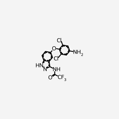 Nc1cc(Cl)c(Oc2ccc3[nH]nc(NC(=O)C(F)(F)F)c3c2)c(Cl)c1